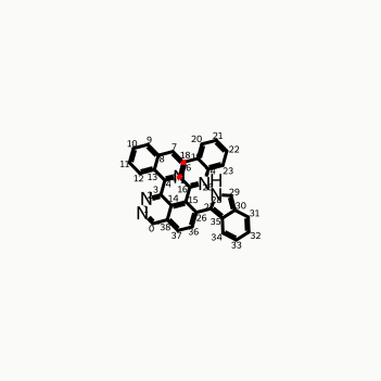 [c]1nnc(-c2nccc3ccccc23)c2c(-c3ccc4ccccc4n3)c(-c3[nH]cc4ccccc34)ccc12